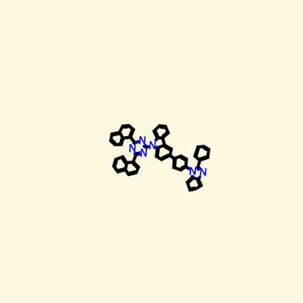 c1ccc(-c2nc3ccccc3n2-c2ccc(-c3ccc4c(c3)c3ccccc3n4-c3nc(-c4cccc5ccccc45)nc(-c4cccc5ccccc45)n3)cc2)cc1